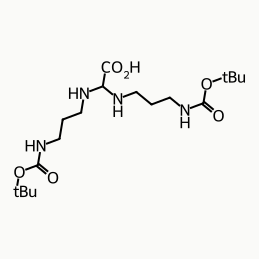 CC(C)(C)OC(=O)NCCCNC(NCCCNC(=O)OC(C)(C)C)C(=O)O